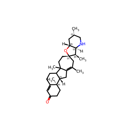 CC1=C2C[C@H]3C(CCC4=CC(=O)CC[C@@]43C)C2(C)CC[C@@]2(C1)O[C@@H]1C[C@H](C)CN[C@H]1[C@H]2C